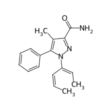 C/C=C\C(=C/C)n1nc(C(N)=O)c(C)c1-c1ccccc1